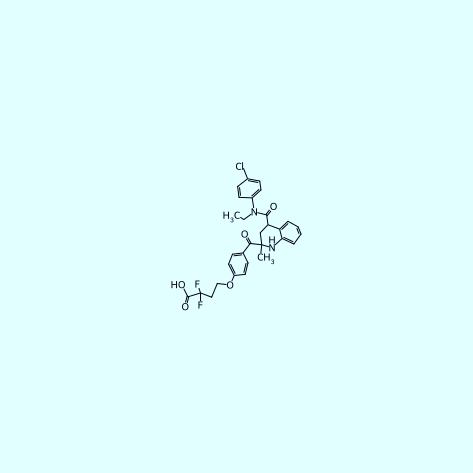 CCN(C(=O)C1CC(C)(C(=O)c2ccc(OCCC(F)(F)C(=O)O)cc2)Nc2ccccc21)c1ccc(Cl)cc1